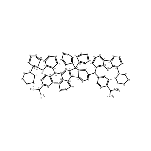 CC(C)c1ccc(N(c2ccc3c(c2)C(c2ccccc2)(c2ccccc2)c2cc(N(c4ccc(C(C)C)cc4)c4cccc5c4oc4c(C6CCCCC6)cccc45)c4ccccc4c2-3)c2cccc3c2oc2c(C4CCCCC4)cccc23)cc1